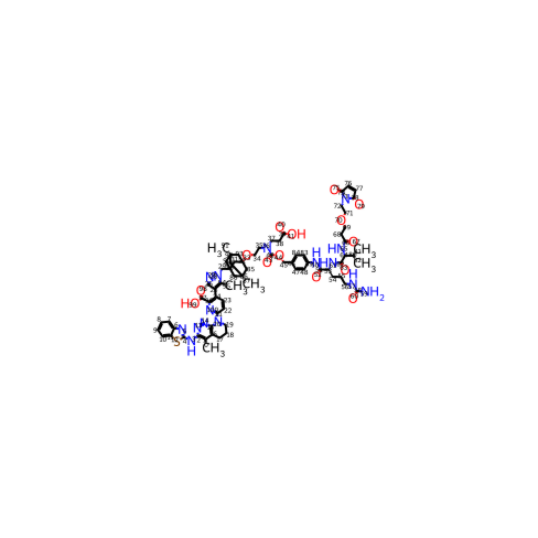 Cc1c(Nc2nc3ccccc3s2)nnc2c1CCCN2c1ccc(-c2cnn(CC34CC5(OCCN(CCC(=O)O)C(=O)OCc6ccc(NC(=O)[C@H](CCCNC(N)=O)NC(=O)[C@@H](NC(=O)CCOCCN7C(=O)C=CC7=O)C(C)C)cc6)C[C@](C)(C3)C[C@](C)(C4)C5)c2C)c(C(=O)O)n1